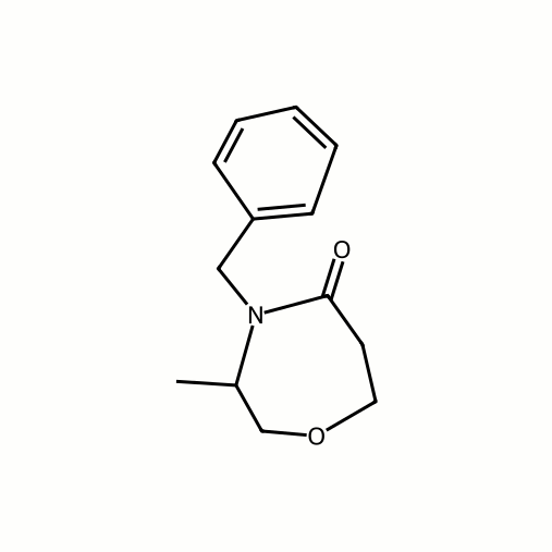 CC1COCCC(=O)N1Cc1ccccc1